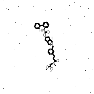 COC(CN(C)C(=O)CCc1cccc(CN2CC3CC(OC(=O)Nc4ccccc4-c4ccccc4)C[C@H]3C2)c1)OC